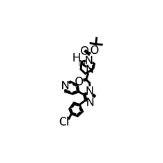 CC(C)(C)OC(=O)N1CC2CC[C@H]1CN2C(=O)Cn1cnc(-c2ccc(Cl)cc2)c1-c1ccncc1